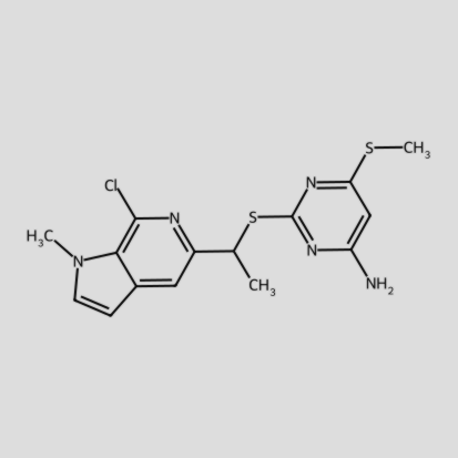 CSc1cc(N)nc(SC(C)c2cc3ccn(C)c3c(Cl)n2)n1